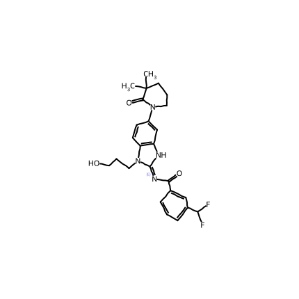 CC1(C)CCCN(c2ccc3c(c2)[nH]/c(=N\C(=O)c2cccc(C(F)F)c2)n3CCCO)C1=O